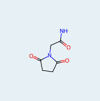 [NH]C(=O)CN1C(=O)CCC1=O